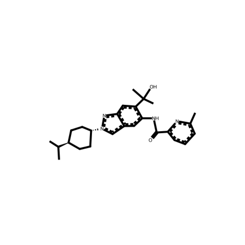 Cc1cccc(C(=O)Nc2cc3cn([C@H]4CC[C@H](C(C)C)CC4)nc3cc2C(C)(C)O)n1